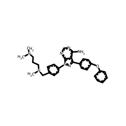 CN(C)CCCN(C)Cc1ccc(-n2nc(-c3ccc(Oc4ccccc4)cc3)c3c(N)ncnc32)cc1